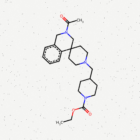 CCOC(=O)N1CCC(CN2CCC3(CC2)CN(C(C)=O)Cc2ccccc23)CC1